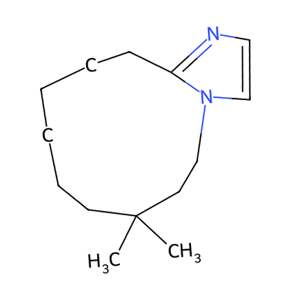 CC1(C)CCCCCCc2nccn2CC1